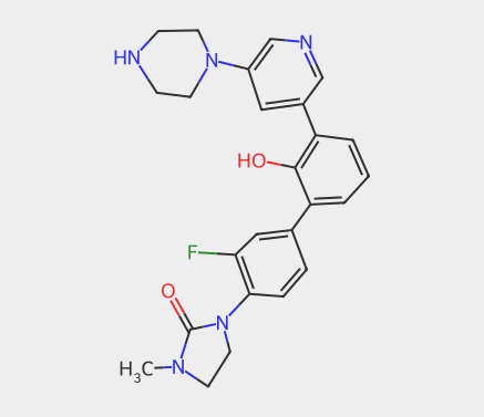 CN1CCN(c2ccc(-c3cccc(-c4cncc(N5CCNCC5)c4)c3O)cc2F)C1=O